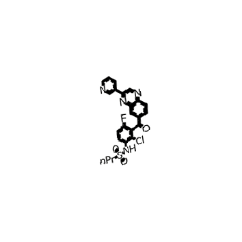 CCCS(=O)(=O)Nc1ccc(F)c(C(=O)c2ccc3ncc(-c4cccnc4)nc3c2)c1Cl